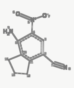 N#Cc1cc([N+](=O)[O-])c(N)c2c1CCC2